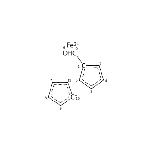 O=C[c-]1cccc1.[Fe+2].c1cc[cH-]c1